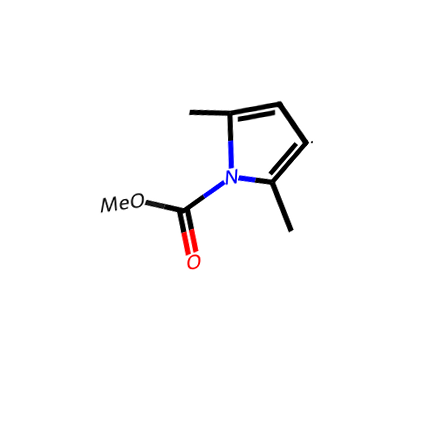 COC(=O)n1c(C)[c]cc1C